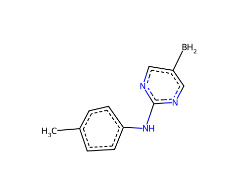 Bc1cnc(Nc2ccc(C)cc2)nc1